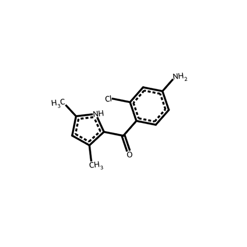 Cc1cc(C)c(C(=O)c2ccc(N)cc2Cl)[nH]1